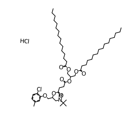 CCCCCCCCCCCCCCCC(=O)OCC(COC(=O)CCCCCCCCCCCCCCC)OC(=O)CCC(=O)OC(CNC(C)(C)C)COc1cc(C)ccc1Cl.Cl